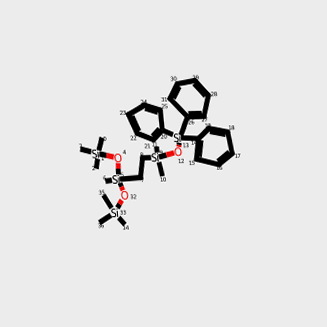 C[Si](C)(C)O[Si](C)(CC[Si](C)(C)O[Si](c1ccccc1)(c1ccccc1)c1ccccc1)O[Si](C)(C)C